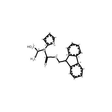 C[C@@H](C(=O)O)N(C(=O)OCC1c2ccccc2-c2ccccc21)c1ccco1